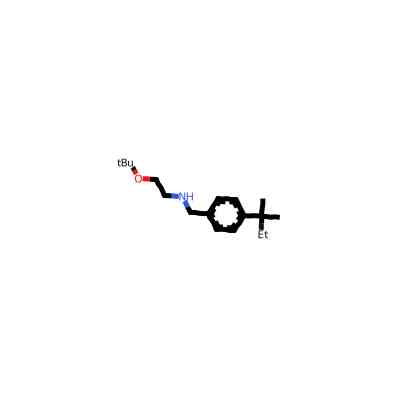 CCC(C)(C)c1ccc(CNCCOC(C)(C)C)cc1